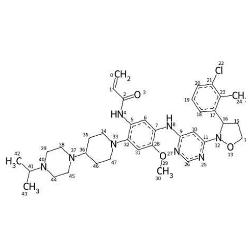 C=CC(=O)Nc1cc(Nc2cc(N3OCCC3c3cccc(Cl)c3C)ncn2)c(OC)cc1N1CCC(N2CCN(C(C)C)CC2)CC1